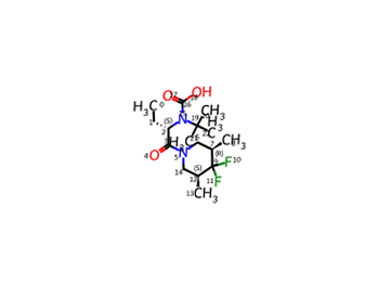 CC[C@@H](C(=O)N1C[C@@H](C)C(F)(F)[C@@H](C)C1)N(C(=O)O)C(C)(C)C